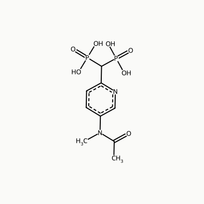 CC(=O)N(C)c1ccc(C(P(=O)(O)O)P(=O)(O)O)nc1